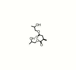 C=C(CC(=O)OCC(C)O)C(=O)OCC(C)O